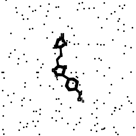 FC(F)(F)Oc1ccc(-c2noc(CSc3nc[nH]n3)n2)cc1